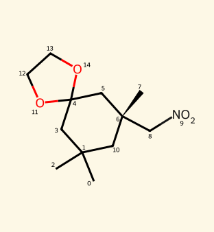 CC1(C)CC2(C[C@](C)(C[N+](=O)[O-])C1)OCCO2